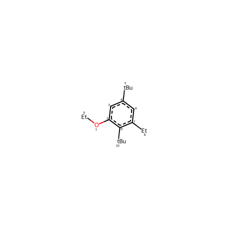 CCOc1cc(C(C)(C)C)cc(CC)c1C(C)(C)C